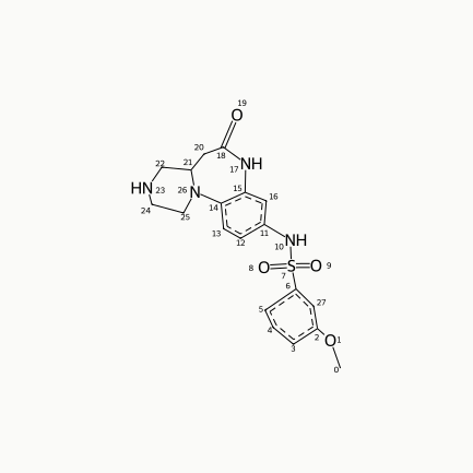 COc1cccc(S(=O)(=O)Nc2ccc3c(c2)NC(=O)CC2CNCCN32)c1